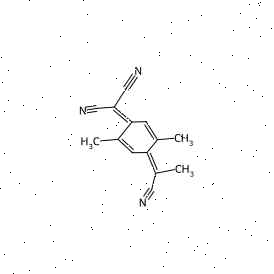 C/C(C#N)=c1/cc(C)c(=C(C#N)C#N)cc1C